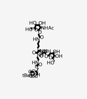 CC(=O)N[C@H]1[C@H](OCC(=O)NCCCC[C@H](NC(=O)CO[C@@H]2O[C@H](CO)[C@H](O)[C@H](O)[C@H]2NC(C)=O)C(=O)NCCNC(=O)OC[C@@H](CC(C)(C)C)OP(=O)(O)OC(C)(C)C)O[C@H](CO)[C@H](O)[C@@H]1O